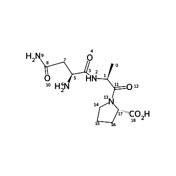 C[C@H](NC(=O)[C@@H](N)CC(N)=O)C(=O)N1CCC[C@H]1C(=O)O